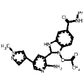 CC(C)NC(=O)c1ccc2c(c1)NC(c1cc(-c3cnn(C)c3)cnc1N)N2OC(=O)C(F)(F)F